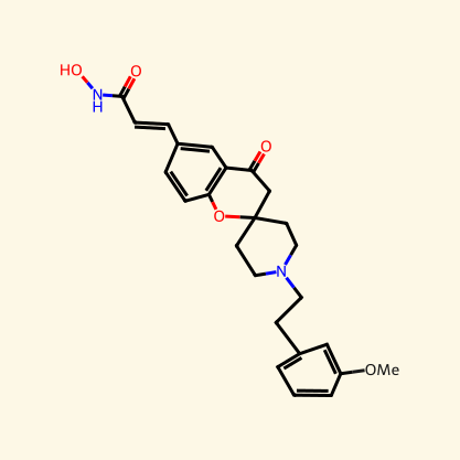 COc1cccc(CCN2CCC3(CC2)CC(=O)c2cc(/C=C/C(=O)NO)ccc2O3)c1